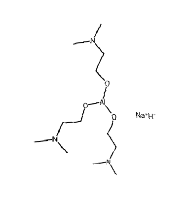 CN(C)CC[O][Al]([O]CCN(C)C)[O]CCN(C)C.[H-].[Na+]